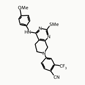 COc1ccc(Nc2nc(SC)nc3c2CCN(c2ccc(C#N)c(C(F)(F)F)c2)C3)cc1